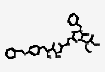 COC(=O)[C@H](CC(C)C)NC(=O)[C@H](Cc1ccccc1)NC(=O)CNC(=O)CN(C=O)C(=O)[C@@H](N)Cc1ccc(OCc2ccccc2)cc1